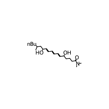 CCCCC(C)CC(O)C=CC=CC=CC(O)CCCC(=O)N(C)C